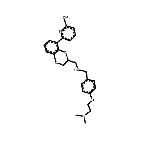 COc1cccc(-c2cccc3c2OC(CNCc2ccc(OCCN(C)C)cc2)CO3)n1